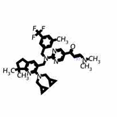 Cc1cc(CN(Cc2cc3c(nc2N(CC2CC2)CC2CC2)C(C)(C)CC3)c2ncc(C(=O)/C=C/N(C)C)cn2)cc(C(F)(F)F)c1